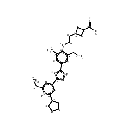 CCc1cc(-c2nnc(-c3cc(OC)nc(C4CCCC4)c3)o2)cc(C)c1OCCN1CC(C(=O)O)C1